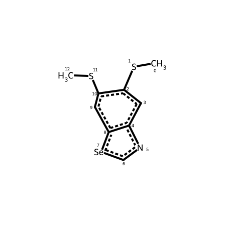 CSc1cc2nc[se]c2cc1SC